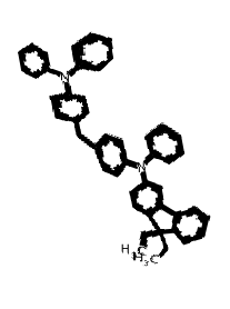 CCC1(CC)c2ccccc2-c2cc(N(c3ccccc3)c3ccc(Cc4ccc(N(c5ccccc5)c5ccccc5)cc4)cc3)ccc21